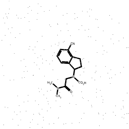 CN(C)C(=O)CN(C(=O)O)C1CCc2c(C#N)cccc21